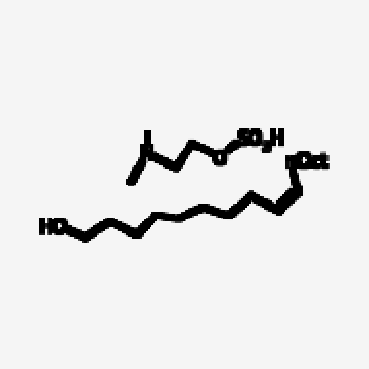 CCCCCCCC/C=C\CCCCCCCCO.CN(C)CCOS(=O)(=O)O